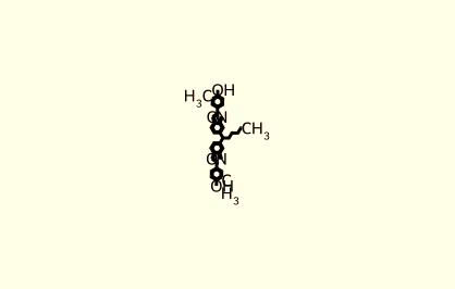 CCCCCC(c1ccc2oc(-c3ccc(O)c(C)c3)nc2c1)c1ccc2oc(-c3ccc(O)c(C)c3)nc2c1